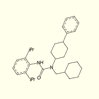 CC(C)c1cccc(C(C)C)c1NC(=O)N(CC1CCCCC1)C1CCC(c2ccccc2)CC1